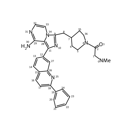 CNCC(=O)N1CCC(Cc2nc(-c3ccc4ccc(-c5ccccc5)nc4c3)c3c(N)nccn23)CC1